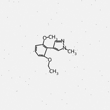 CCOc1c[c]cc(OC)c1-c1cnn(C)c1